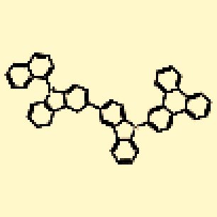 C1=CC2=C(CC1)C1CC(c3ccc4c(c3)c3ccccc3n4-c3ccc4c5ccccc5c5ccccc5c4c3)=CC=C1N2c1cccc2ccccc12